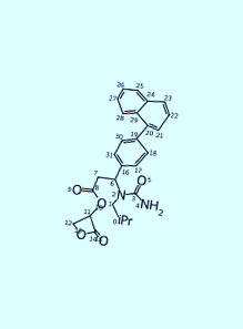 CC(C)CN(C(N)=O)C(CC(=O)OC1COC1=O)c1ccc(-c2cccc3ccccc23)cc1